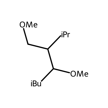 CCC(C)C(OC)C(COC)C(C)C